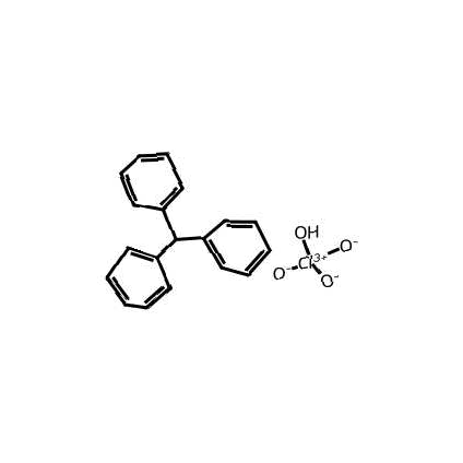 [O-][Cl+3]([O-])([O-])O.c1ccc(C(c2ccccc2)c2ccccc2)cc1